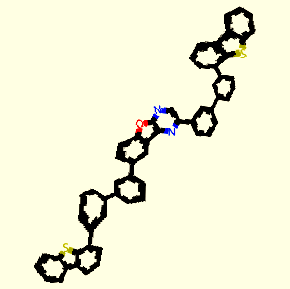 c1cc(-c2cccc(-c3cccc4c3sc3ccccc34)c2)cc(-c2ccc3oc4ncc(-c5cccc(-c6cccc(-c7cccc8c7sc7ccccc78)c6)c5)nc4c3c2)c1